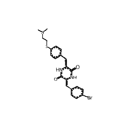 CN(C)CCSc1ccc(C=c2[nH]c(=O)c(=Cc3ccc(Br)cc3)[nH]c2=O)cc1